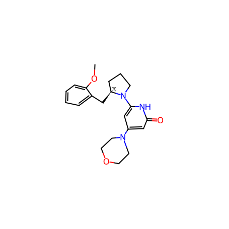 COc1ccccc1C[C@H]1CCCN1c1cc(N2CCOCC2)cc(=O)[nH]1